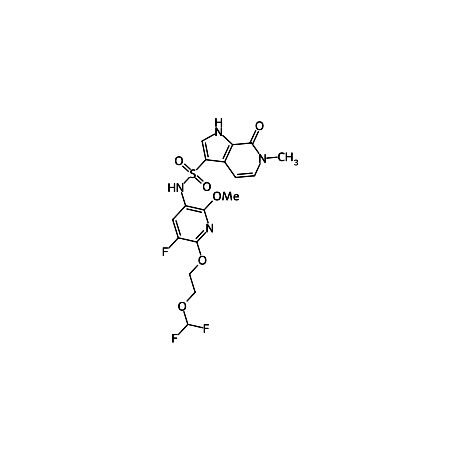 COc1nc(OCCOC(F)F)c(F)cc1NS(=O)(=O)c1c[nH]c2c(=O)n(C)ccc12